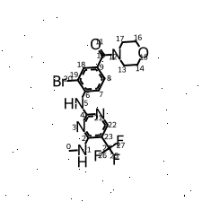 CNc1nc(Nc2ccc(C(=O)N3CCOCC3)cc2Br)ncc1C(F)(F)F